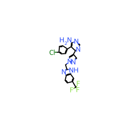 Nc1ncnc(-c2cnn(Cc3nc4ccc(C(F)(F)F)cc4[nH]3)c2)c1-c1ccc(Cl)cc1